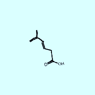 C=C(C)/C=C/CC(=O)O